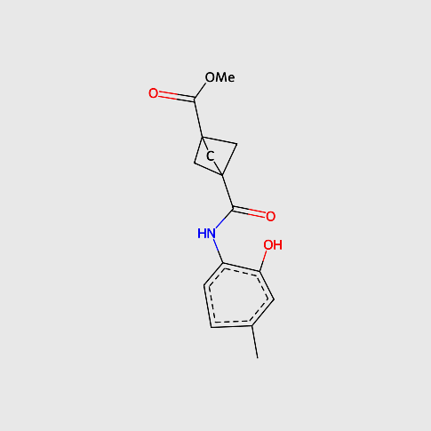 COC(=O)C12CC(C(=O)Nc3ccc(C)cc3O)(C1)C2